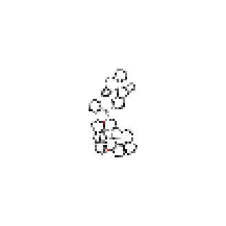 C1=CC2C3=C(CCC(N(c4ccc5c(c4)C4(c6ccccc6Oc6ccccc64)c4ccccc4-5)c4ccccc4-c4ccc(-c5ccccc5)cc4)=C3)C3(c4ccccc4Oc4ccccc43)C2c2ccccc21